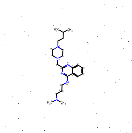 CC(C)CCN1CCN(Cc2nc(NCCCN(C)C)c3ccccc3n2)CC1